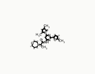 Cc1cc(C)n(-c2cc(NC(=O)C(C)N3CCCOCC3)nc(-c3ccc(C)o3)n2)n1